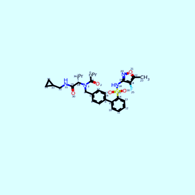 CCCC(=O)N(Cc1ccc(-c2ccccc2S(=O)(=O)Nc2noc(C)c2F)cc1)[C@H](C(=O)NCC1CC1)C(C)C